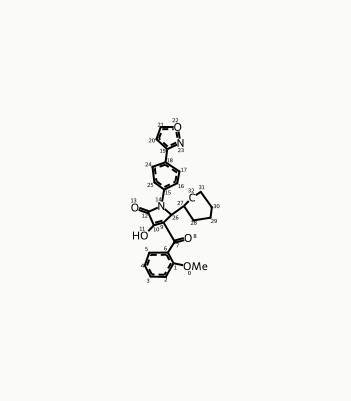 COc1ccccc1C(=O)C1=C(O)C(=O)N(c2ccc(-c3ccon3)cc2)C1C1CCCCC1